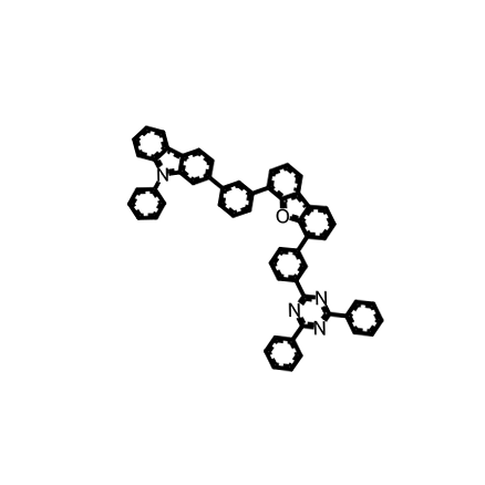 c1ccc(-c2nc(-c3ccccc3)nc(-c3cccc(-c4cccc5c4oc4c(-c6cccc(-c7ccc8c9ccccc9n(-c9ccccc9)c8c7)c6)cccc45)c3)n2)cc1